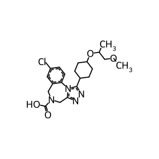 COCC(C)OC1CCC(c2nnc3n2-c2ccc(Cl)cc2CN(C(=O)O)C3)CC1